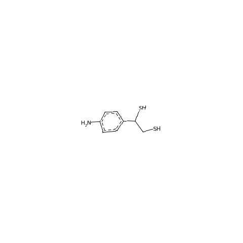 Nc1ccc(C(S)CS)cc1